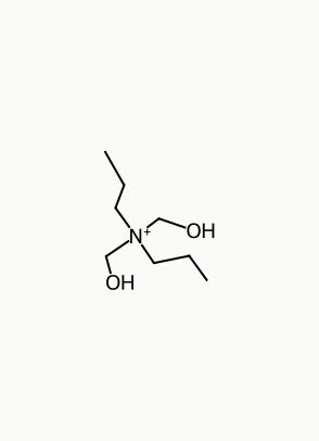 CCC[N+](CO)(CO)CCC